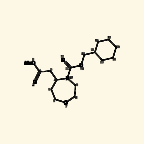 COC(=O)CC1CCOCCN1C(=O)OCC1CCCCC1